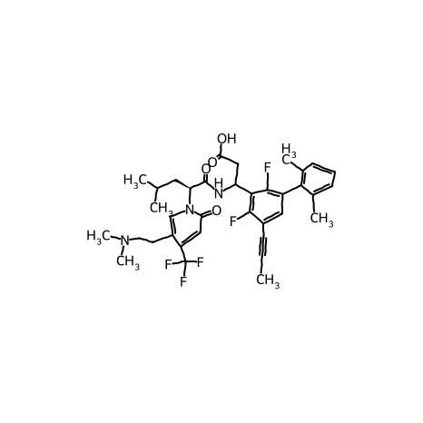 CC#Cc1cc(-c2c(C)cccc2C)c(F)c(C(CC(=O)O)NC(=O)[C@H](CC(C)C)n2cc(CCN(C)C)c(C(F)(F)F)cc2=O)c1F